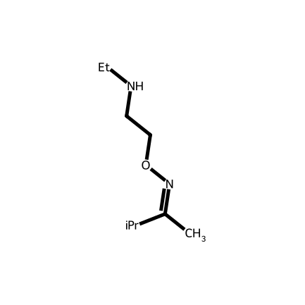 CCNCCO/N=C(/C)C(C)C